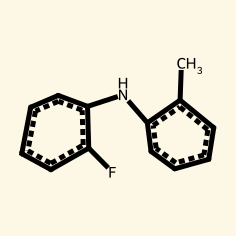 Cc1ccccc1Nc1ccccc1F